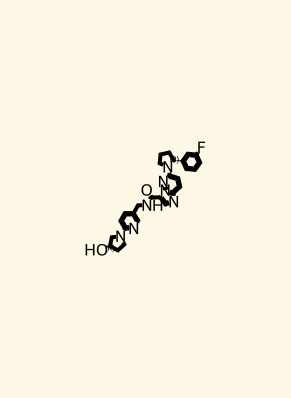 O=C(NCc1ccc(N2CC[C@@H](O)C2)nc1)c1cnc2ccc(N3CCC[C@@H]3c3cccc(F)c3)nn12